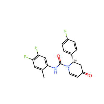 Cc1cc(F)c(F)cc1NC(=O)N1C=CC(=O)C[C@H]1c1ccc(F)cc1